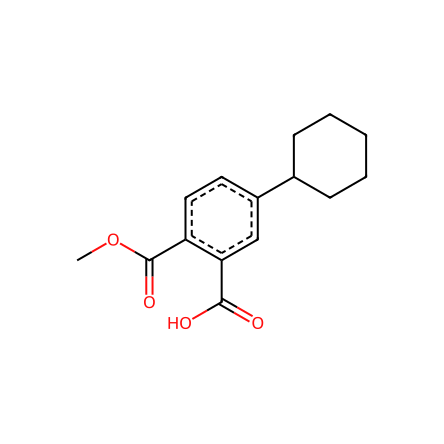 COC(=O)c1ccc(C2CCCCC2)cc1C(=O)O